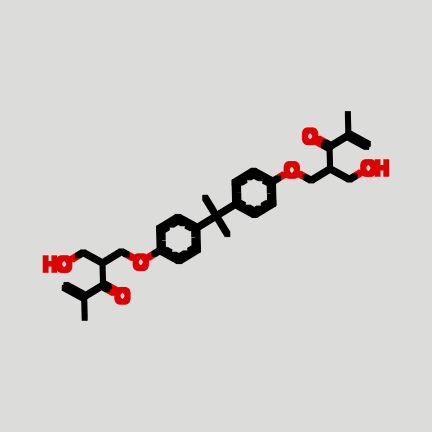 C=C(C)C(=O)C(CO)COc1ccc(C(C)(C)c2ccc(OCC(CO)C(=O)C(=C)C)cc2)cc1